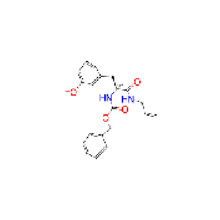 C=CCNC(=O)[C@H](Cc1cccc(OC)c1)NC(=O)OCc1ccccc1